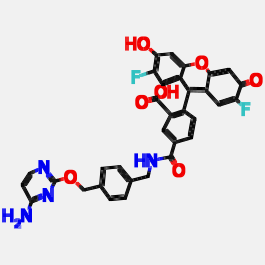 Nc1ccnc(OCc2ccc(CNC(=O)c3ccc(-c4c5cc(F)c(=O)cc-5oc5cc(O)c(F)cc45)c(C(=O)O)c3)cc2)n1